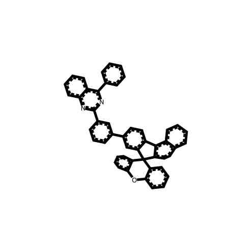 c1ccc(-c2nc(-c3cccc(-c4ccc5c(c4)C4(c6ccccc6Oc6ccccc64)c4ccc6ccccc6c4-5)c3)nc3ccccc23)cc1